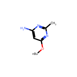 CCCCOc1cc(N)nc(C)n1